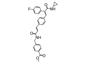 COC(=O)c1ccc(CNC(=O)C=Cc2ccc(/C=C(/C(=O)NC3CC3)c3ccc(F)cc3)cc2)cc1